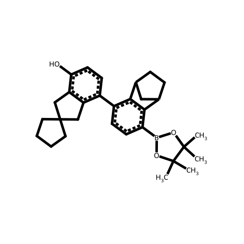 CC1(C)OB(c2ccc(-c3ccc(O)c4c3CC3(CCCC3)C4)c3c2C2CCC3C2)OC1(C)C